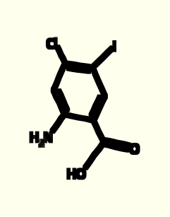 Nc1cc(Cl)c(I)cc1C(=O)O